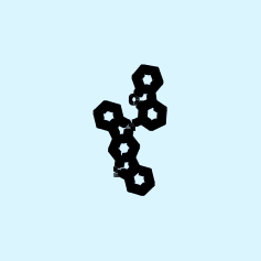 c1ccc2c(c1)oc1c(-n3c4ccccc4c4cc5sc6ccccc6c5cc43)cccc12